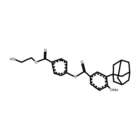 COc1ccc(C(=O)Sc2ccc(C(=O)OCCO)cc2)cc1C12CC3CC(CC(C3)C1)C2